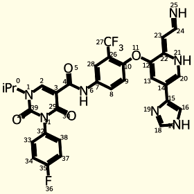 CC(C)n1cc(C(=O)Nc2ccc(OC3=CC(c4c[nH]cn4)=CN/C3=C\C=N)c(C(F)(F)F)c2)c(=O)n(-c2ccc(F)cc2)c1=O